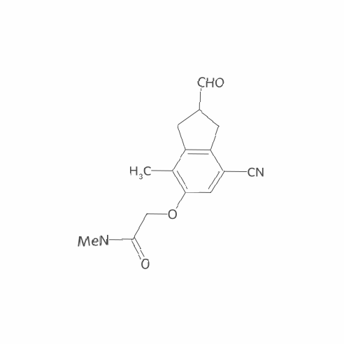 CNC(=O)COc1cc(C#N)c2c(c1C)CC(C=O)C2